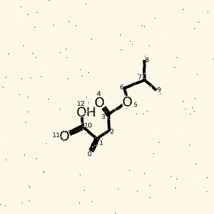 C=C(CC(=O)OCC(C)C)C(=O)O